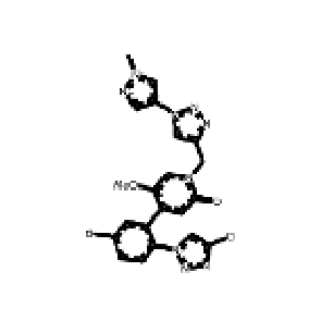 COc1cn(Cc2cn(-c3cnn(C)c3)nn2)c(=O)cc1-c1cc(Cl)ccc1-n1cc(Cl)nn1